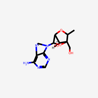 CC1OC2C(n3cnc4c(N)ncnc43)OC1(CO)[C@@H]2O